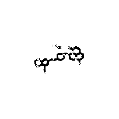 Cl.Cl.N#Cc1cc(CNC2CCN(C[C@@H]3CCn4c(=O)cnc5ccc(=O)n3c54)CC2)cc2c1OCCO2